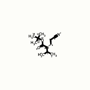 CC(C)[C@@H](CCC#N)C(=O)OC(C)(C)C